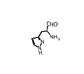 N[C@H]([C]=O)Cc1cc[nH]n1